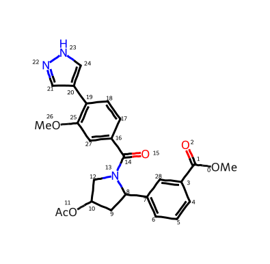 COC(=O)c1cccc(C2CC(OC(C)=O)CN2C(=O)c2ccc(-c3cn[nH]c3)c(OC)c2)c1